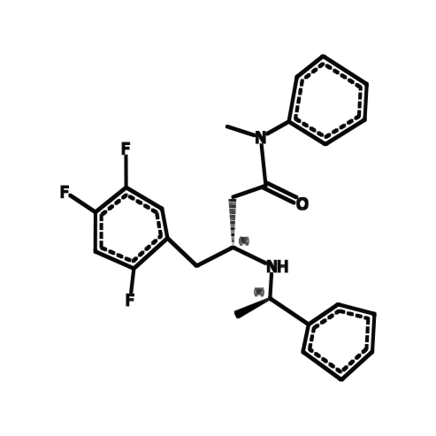 C[C@@H](N[C@@H](CC(=O)N(C)c1ccccc1)Cc1cc(F)c(F)cc1F)c1ccccc1